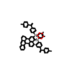 C=C(c1ccc(C)cc1)c1ccc(N(c2ccc(C)cc2)c2cc3c4cccc5cc6ccccc6c(c6cccc(c2N(c2ccc(C)cc2)c2ccc(C(=C)c7ccc(C)cc7)cc2)c36)c54)cc1